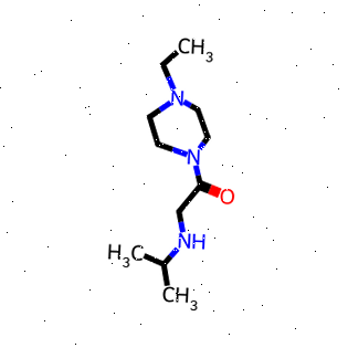 CCN1CCN(C(=O)CNC(C)C)CC1